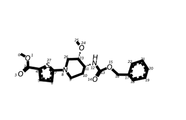 COC(=O)c1ccc(N2CC[C@@H](NC(=O)OCc3ccccc3)[C@@H](OC)C2)s1